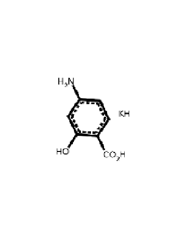 Nc1ccc(C(=O)O)c(O)c1.[KH]